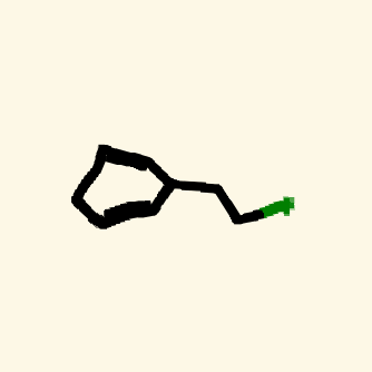 FCCC1C=CCC=C1